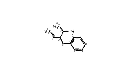 C=CC(Cc1ccccc1)C(C)O